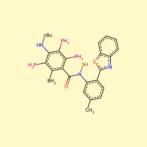 Bc1c(P)c(NCCCC)c(P)c(P)c1C(=O)N(S)c1cc(C)ccc1-c1nc2ccccc2s1